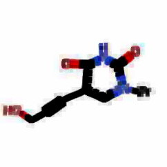 CC(C)n1cc(C#CCO)c(=O)[nH]c1=O